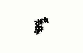 CC1CN(c2ccc(C(F)(F)F)c3ncccc23)CC1NC(=O)CC1CCN(C)C1